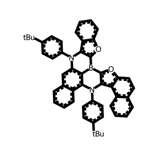 CC(C)(C)c1ccc(N2c3cc4ccccc4c4c3B(c3oc5ccccc5c32)c2oc3ccc5ccccc5c3c2N4c2ccc(C(C)(C)C)cc2)cc1